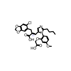 CCCCc1ncc(/C=C(\Cc2cc3c(cc2Cl)OCO3)C(=O)O)n1-c1ccc(OC)cc1OCC(=O)O